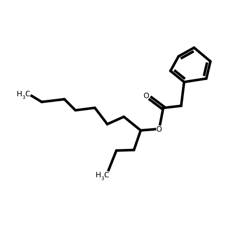 CCCCCCCC(CCC)OC(=O)Cc1ccccc1